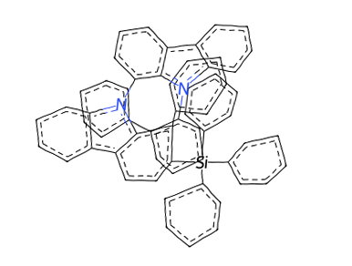 c1ccc(-c2ccccc2-n2c3ccccc3c3cccc(-n4c5ccccc5c5ccc([Si](c6ccccc6)(c6ccccc6)c6ccccc6)c(-c6ccccc6)c54)c32)cc1